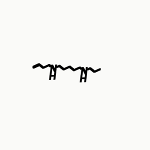 C=CCCNCCCCCNCCC